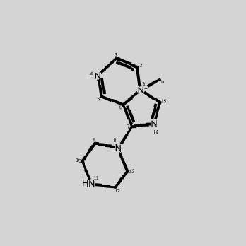 C[N+]12C=CN=CC1=C(N1CCNCC1)N=C2